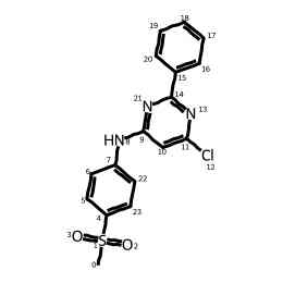 CS(=O)(=O)c1ccc(Nc2cc(Cl)nc(-c3ccccc3)n2)cc1